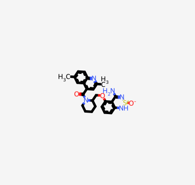 Cc1ccc2nc(C)cc(C(=O)N3CCCCC3COc3cccc4c3C(N)=N[S+]([O-])N4)c2c1